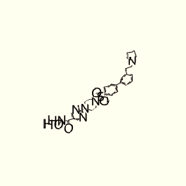 O=C(NO)c1cnc(N2CCN(S(=O)(=O)c3ccc(-c4cccc(CCN5CCCC5)c4)cc3)CC2)nc1